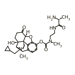 C[C@H](N)C(=O)NCCN(C)C(=O)Oc1ccc2c3c1O[C@H]1C(=O)CC[C@@]4(O)C(C2)[N@+](C)(CC2CC2)CC[C@]314